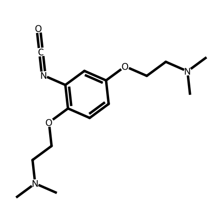 CN(C)CCOc1ccc(OCCN(C)C)c(N=C=O)c1